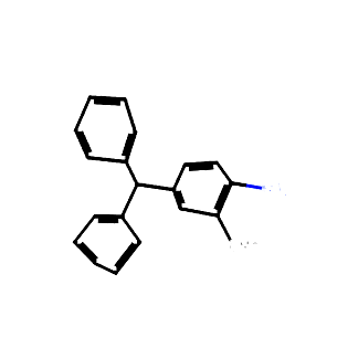 COc1cc(C(c2ccccc2)c2ccccc2)ccc1N